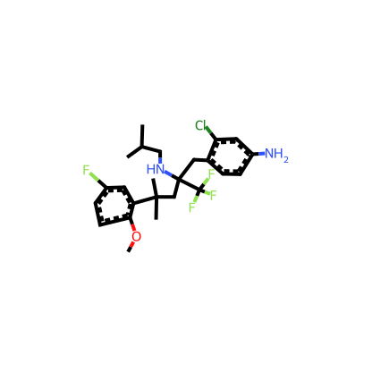 COc1ccc(F)cc1C(C)(C)CC(Cc1ccc(N)cc1Cl)(NCC(C)C)C(F)(F)F